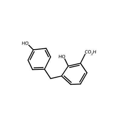 O=C(O)c1cccc(Cc2ccc(O)cc2)c1O